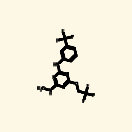 CNc1nc(Nc2cccc(C(F)(F)F)c2)nc(OCC(F)(F)F)n1